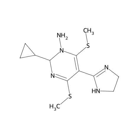 CSC1=NC(C2CC2)N(N)C(SC)=C1C1=NCCN1